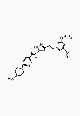 COc1cc(CCc2cc(NC(=O)c3ccc(N4CCN(C)CC4)nn3)[nH]n2)cc(OC)c1